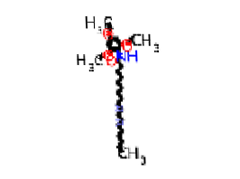 CCCCC/C=C/C/C=C/CCCCCCCC(=O)Nc1c(OCC)cc(OCC)cc1OCC